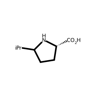 CC(C)C1CC[C@@H](C(=O)O)N1